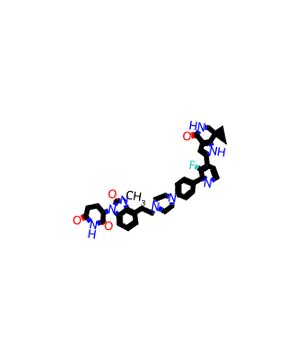 Cn1c(=O)n(C2CCC(=O)NC2=O)c2cccc(CCN3CCN(c4ccc(-c5nccc(-c6cc7c([nH]6)C6(CC6)CNC7=O)c5F)cc4)CC3)c21